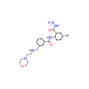 NNC(=O)c1cc(Br)ccc1NC(=O)c1cccc(CNCCN2CCOCC2)c1